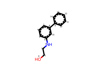 OCCNc1cccc(-c2ccccc2)c1